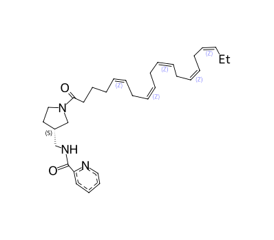 CC/C=C\C/C=C\C/C=C\C/C=C\C/C=C\CCCC(=O)N1CC[C@@H](CNC(=O)c2ccccn2)C1